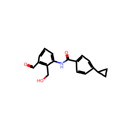 O=Cc1cccc(NC(=O)c2ccc(C3CC3)cc2)c1CO